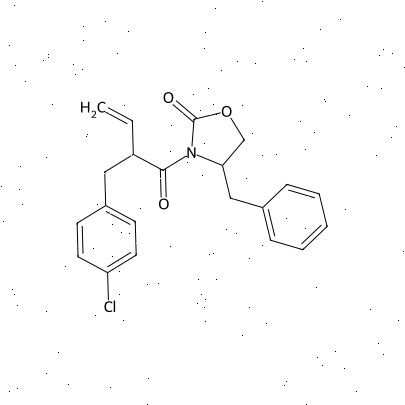 C=CC(Cc1ccc(Cl)cc1)C(=O)N1C(=O)OCC1Cc1ccccc1